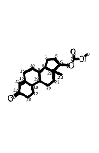 COC(=O)OC1CCC2C3CCC4=CC(=O)CCC4C3CCC12C